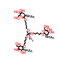 CC(=O)NC1CC(O)[C@@H](O)C(CO)O[C@H]1OCCCCCOCC(C)(COCCCCCO[C@@H]1OC(CO)[C@H](O)C(O)CC1NC(C)=O)COCCCCCO[C@@H]1CC(CO)[C@H](O)C(O)C1NC(C)=O